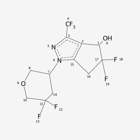 OC1c2c(C(F)(F)F)nn(C3COCC(F)(F)C3)c2CC1(F)F